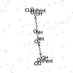 CCCCCC(OC(=O)CCl)C(O)C/C=C/CCCCCCCC(=O)NCCCNC(=O)CCCCCCC/C=C/CC(O)C(CCCCC)OC(=O)CCl